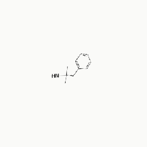 CC(C)([NH])Cc1ccccc1